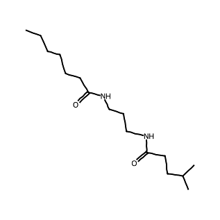 CCCCCCC(=O)NCCCNC(=O)CCC(C)C